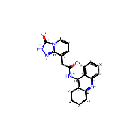 O=C(Cc1cccn2c(=O)[nH]nc12)Nc1c2c(nc3ccccc13)CCCC2